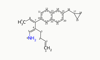 C=CCCC(=C\N)/C(=C\C)c1ccc2cc(CC3CC3)ccc2c1